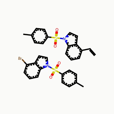 C=Cc1cccc2c1ccn2S(=O)(=O)c1ccc(C)cc1.Cc1ccc(S(=O)(=O)n2ccc3c(Br)cccc32)cc1